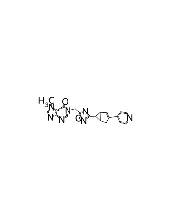 Cn1cnc2ncn(Cc3nc(C4C5C=C(c6ccncc6)CC54)no3)c(=O)c21